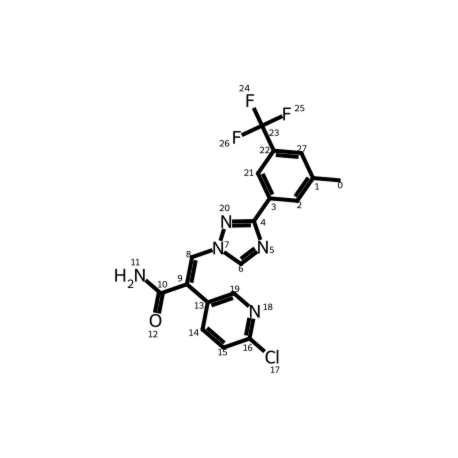 Cc1cc(-c2ncn(/C=C(/C(N)=O)c3ccc(Cl)nc3)n2)cc(C(F)(F)F)c1